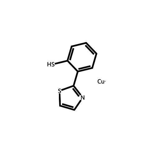 Sc1ccccc1-c1nccs1.[Cu]